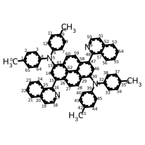 Cc1ccc(N(c2ccc(C)cc2)c2cc(-c3nccc4ccccc34)c3ccc4c(N(c5ccc(C)cc5)c5ccc(C)cc5)cc(-c5nccc6ccccc56)c5ccc2c3c54)cc1